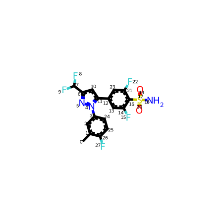 Cc1cc(-n2nc(C(F)F)cc2-c2cc(F)c(S(N)(=O)=O)c(F)c2)ccc1F